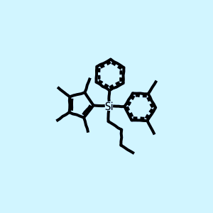 CCCC[Si](C1=C(C)C(C)=C(C)C1C)(c1ccccc1)c1cc(C)cc(C)c1